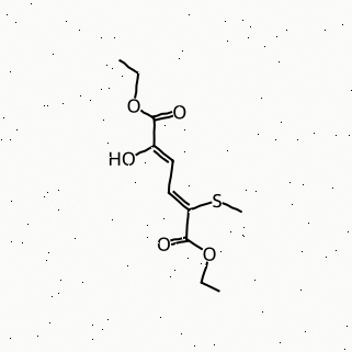 CCOC(=O)/C(O)=C/C=C(\SC)C(=O)OCC